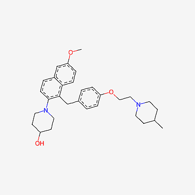 COc1ccc2c(Cc3ccc(OCCN4CCC(C)CC4)cc3)c(N3CCC(O)CC3)ccc2c1